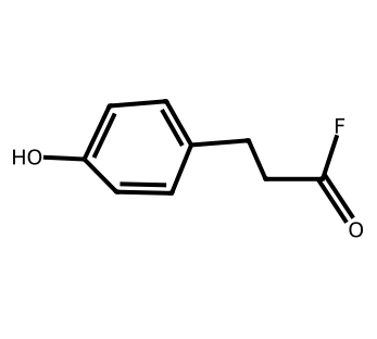 O=C(F)CCc1ccc(O)cc1